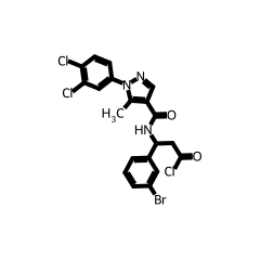 Cc1c(C(=O)NC(CC(=O)Cl)c2cccc(Br)c2)cnn1-c1ccc(Cl)c(Cl)c1